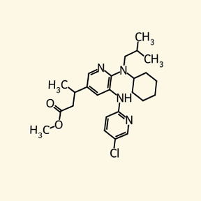 COC(=O)CC(C)c1cnc(N(CC(C)C)C2CCCCC2)c(Nc2ccc(Cl)cn2)c1